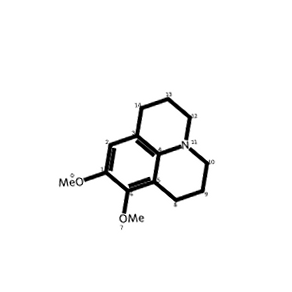 COc1cc2c3c(c1OC)CCCN3CCC2